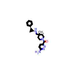 CC1(CN[C@@H]2C[C@H]2c2ccccc2)CCN(C(=O)c2ccc(N)nn2)CC1